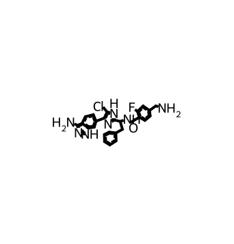 NCc1ccc(C(=O)NC(Cc2ccccc2)c2nc(-c3ccc4c(N)n[nH]c4c3)c(Cl)[nH]2)c(F)c1